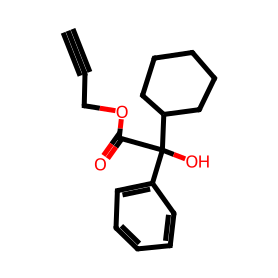 C#CCOC(=O)C(O)(c1ccccc1)C1CCCCC1